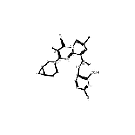 Cc1cc([C@@H](C)Nc2ccc(Cl)nc2C(=O)O)c2nc(N3CCC4CC4C3)c(C)c(=O)n2c1